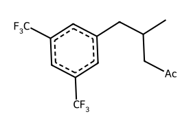 CC(=O)CC(C)Cc1cc(C(F)(F)F)cc(C(F)(F)F)c1